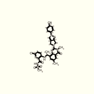 Cc1cc([C@@H](C)Nc2ccc(Cl)nc2C(=O)NS(C)(=O)=O)c2nc(N3Cc4cn(-c5ccc(C#N)cc5)nc4C3)n(C)c(=O)c2c1